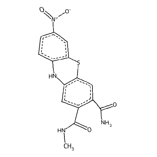 CNC(=O)c1cc2c(cc1C(N)=O)Sc1cc([N+](=O)[O-])ccc1N2